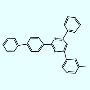 Fc1cccc(-c2nc(-c3ccccc3)nc(-c3ccc(-c4ccccc4)cc3)n2)c1